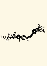 CN[C@@H](Cc1ccc(C#CCCC(=O)N2CCN(c3ccc(N4C[C@H](CNC(C)=O)OC4=O)cc3F)CC2)cc1)C(=O)O